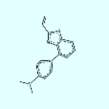 C=Cc1nc2c(-c3ccc(N(C)C)cc3)cccc2s1